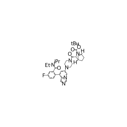 CCN(C(=O)c1cc(F)ccc1-c1cc(N2CCN(C(=O)[C@@H]3[C@H]4CC[C@H](C4)N3C(=O)OC(C)(C)C)CC2)cn2cncc12)C(C)C